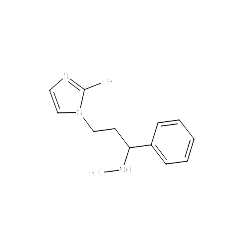 CNC(CCn1ccnc1C)c1ccccc1